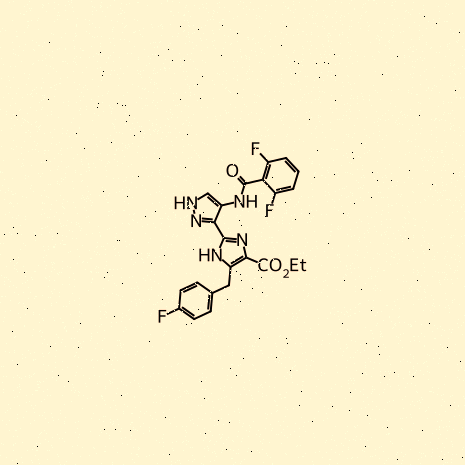 CCOC(=O)c1nc(-c2n[nH]cc2NC(=O)c2c(F)cccc2F)[nH]c1Cc1ccc(F)cc1